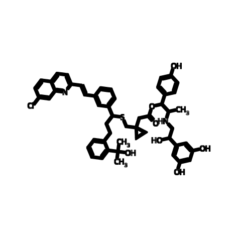 CC(NCC(O)c1cc(O)cc(O)c1)C(OC(=O)CC1(CSC(CCc2ccccc2C(C)(C)O)c2cccc(C=Cc3ccc4ccc(Cl)cc4n3)c2)CC1)c1ccc(O)cc1